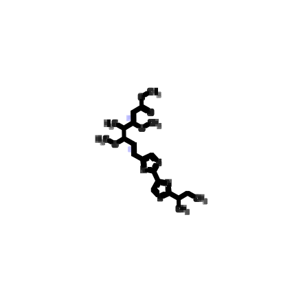 CCC(C)c1nc(-c2nc(/C=C/C(OC)C(C)/C(=C/C(=O)OC)OC)cs2)cs1